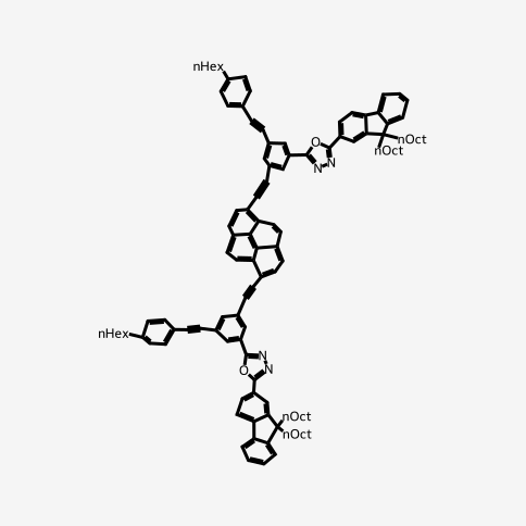 CCCCCCCCC1(CCCCCCCC)c2ccccc2-c2ccc(-c3nnc(-c4cc(C#Cc5ccc(CCCCCC)cc5)cc(C#Cc5ccc6ccc7c(C#Cc8cc(C#Cc9ccc(CCCCCC)cc9)cc(-c9nnc(-c%10ccc%11c(c%10)C(CCCCCCCC)(CCCCCCCC)c%10ccccc%10-%11)o9)c8)ccc8ccc5c6c87)c4)o3)cc21